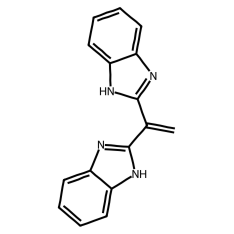 C=C(c1nc2ccccc2[nH]1)c1nc2ccccc2[nH]1